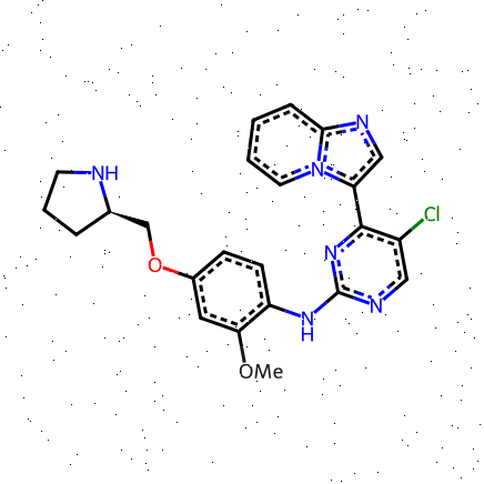 COc1cc(OC[C@H]2CCCN2)ccc1Nc1ncc(Cl)c(-c2cnc3ccccn23)n1